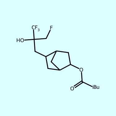 CCC(C)C(=O)OC1CC2CC1CC2CC(O)(CF)C(F)(F)F